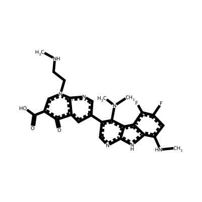 CNCCn1cc(C(=O)O)c(=O)c2cc(-c3cnc4[nH]c5c(NC)cc(F)c(F)c5c4c3N(C)C)cnc21